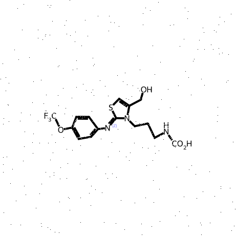 O=C(O)NCCCn1c(CO)cs/c1=N\c1ccc(OC(F)(F)F)cc1